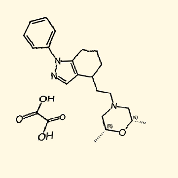 C[C@@H]1CN(CCC2CCCc3c2cnn3-c2ccccc2)C[C@H](C)O1.O=C(O)C(=O)O